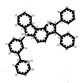 c1ccc(-c2sc3c(ccc4c3c3ccccc3n4-c3cccc(-c4ccccn4)c3)c2-c2ccccc2)cc1